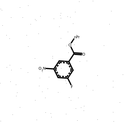 CCCOC(=O)c1cc(F)cc([N+](=O)[O-])c1